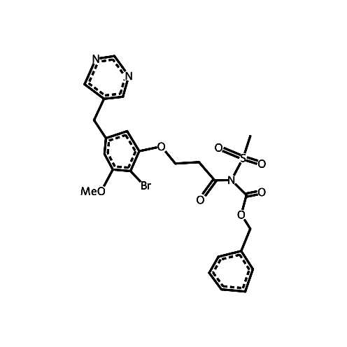 COc1cc(Cc2cncnc2)cc(OCCC(=O)N(C(=O)OCc2ccccc2)S(C)(=O)=O)c1Br